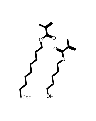 C=C(C)C(=O)OCCCCCCCCCCCCCCCCCC.C=C(C)C(=O)OCCCCCO